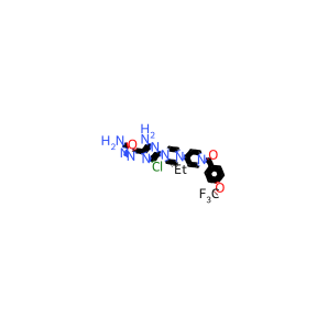 CC[C@H]1CN(c2nc(N)c(-c3nnc(N)o3)nc2Cl)CCN1C1CCN(C(=O)c2ccc(OC(F)(F)F)cc2)CC1